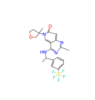 Cc1nc(NC(C)c2cccc(S(F)(F)(F)(F)F)c2)c2cn(C3(C)CCOC3)c(=O)cc2n1